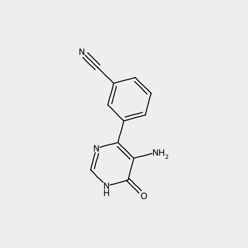 N#Cc1cccc(-c2nc[nH]c(=O)c2N)c1